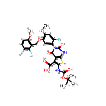 COc1cc(F)c(-n2c(=O)[nH]c3sc(NC(=O)OC(C)(C)C)c(C(=O)O)c3c2=O)cc1OCc1c(OC)ccc(F)c1F